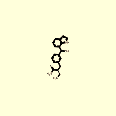 NC[C@H](Cc1cccc(C(O)c2cccc3cc[nH]c23)c1)C(N)=O